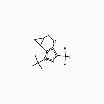 CC(C)(C)n1nc(C(F)(F)F)c2c1C1CC1CO2